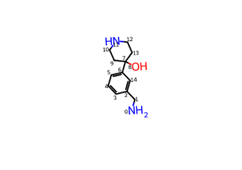 NCc1cccc(C2(O)CCNCC2)c1